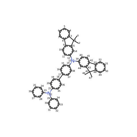 CC1(C)c2ccccc2-c2ccc(N(c3ccc(-c4ccc(N(c5ccccc5)c5ccccc5)cc4)cc3)c3ccc4c(c3)C(C)(C)c3ccccc3-4)cc21